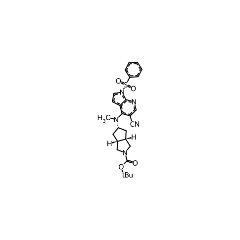 CN(c1c(C#N)cnc2c1ccn2S(=O)(=O)c1ccccc1)[C@@H]1C[C@@H]2CN(C(=O)OC(C)(C)C)C[C@@H]2C1